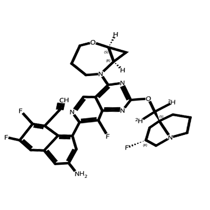 [2H]C([2H])(Oc1nc(N2CCCO[C@H]3C[C@H]32)c2cnc(-c3cc(N)cc4cc(F)c(F)c(C#C)c34)c(F)c2n1)[C@@]12CCCN1C[C@H](F)C2